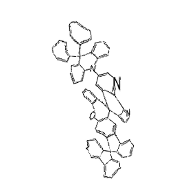 c1ccc(C2(c3ccccc3)c3ccccc3N(c3cnc4c(c3)C3(c5ccccc5Oc5cc6c(cc53)-c3ccccc3C63c5ccccc5-c5ccccc53)c3cccnc3-4)c3ccccc32)cc1